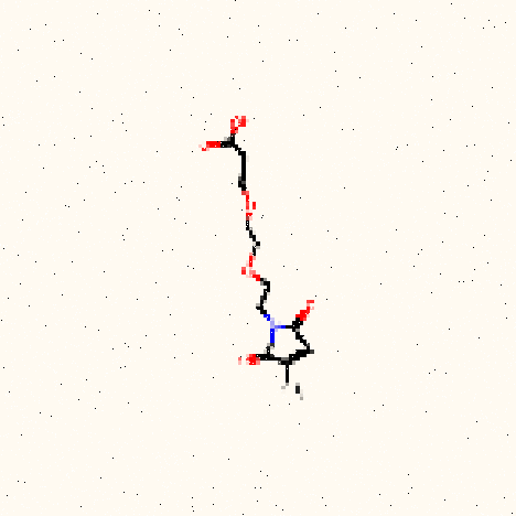 CC1=CC(=O)N(CCOCCOCCC(=O)O)C1=O